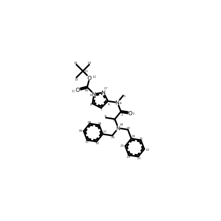 CC(C(=O)N(C)c1ccn(C(=O)OC(C)(C)C)n1)N(Cc1ccccc1)Cc1ccccc1